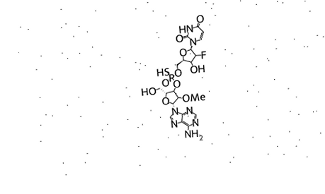 COC1C(OP(=O)(S)OC[C@H]2O[C@@H](n3ccc(=O)[nH]c3=O)C(F)C2O)[C@@H](CO)O[C@H]1n1cnc2c(N)ncnc21